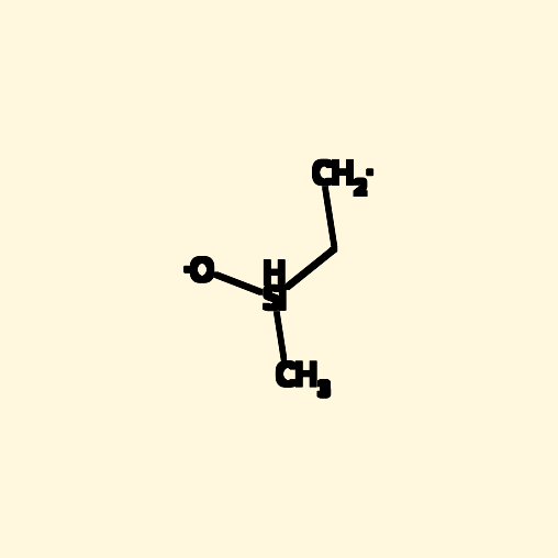 [CH2]C[SiH](C)[O]